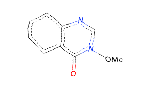 COn1cnc2ccccc2c1=O